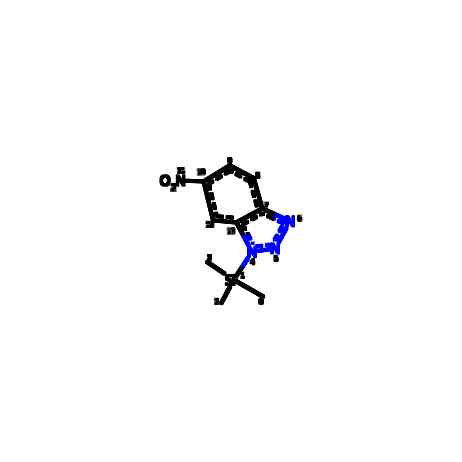 C[Si](C)(C)n1nnc2ccc([N+](=O)[O-])cc21